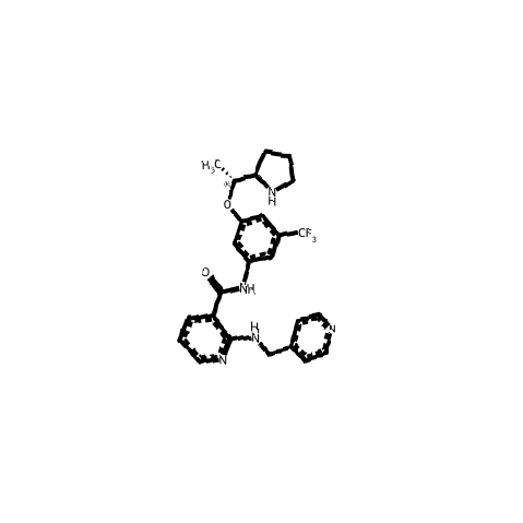 C[C@@H](Oc1cc(NC(=O)c2cccnc2NCc2ccncc2)cc(C(F)(F)F)c1)C1CCCN1